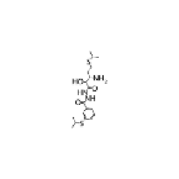 CC(C)SCC[C@@H](N)C(O)C(=O)NNC(=O)c1cccc(SC(C)C)c1